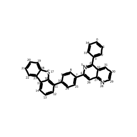 c1ccc(-c2nc(-c3ccc(-c4cccc5c4sc4ccccc45)cc3)cc3ncccc23)cc1